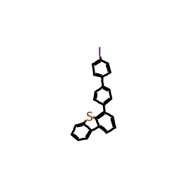 Ic1ccc(-c2ccc(-c3cccc4c3sc3ccccc34)cc2)cc1